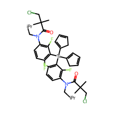 CC(C)CN(C(=O)C(C)(C)CCl)c1ccc(F)[c]([Ti]([C]2=CC=CC2)([C]2=CC=CC2)[c]2c(F)ccc(N(CC(C)C)C(=O)C(C)(C)CCl)c2F)c1F